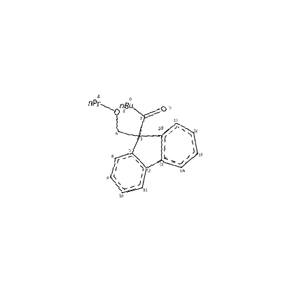 CCCCC(=O)C1(COCCC)c2ccccc2-c2ccccc21